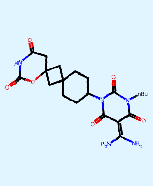 CCCCN1C(=O)C(=C(N)N)C(=O)N(C2CCC3(CC2)CC2(CC(=O)NC(=O)O2)C3)C1=O